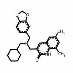 Cc1cc(C)c2[nH]c(=O)c(CN(Cc3ccc4c(c3)OCO4)CC3CCCCC3)cc2c1